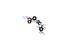 Cc1cc(Cl)c(C(=O)N2CC3CN(c4cccc(C(CC(N)=O)C5(C(=O)O)CCCC5)c4)CC3C2)c(Cl)c1